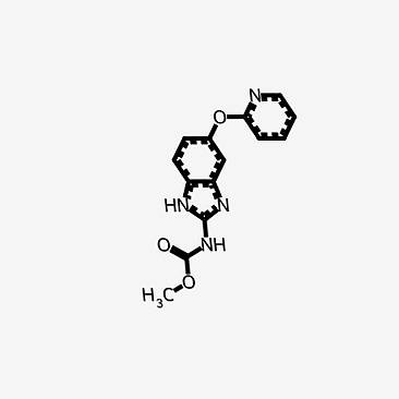 COC(=O)Nc1nc2cc(Oc3ccccn3)ccc2[nH]1